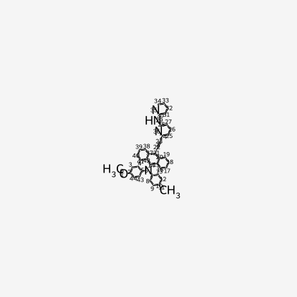 COc1ccc(N(c2ccc(C)cc2)c2c3ccccc3c(C#Cc3cccc(Nc4ccccn4)n3)c3ccccc23)cc1